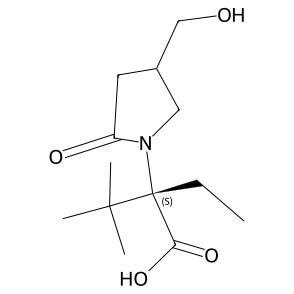 CC[C@](C(=O)O)(N1CC(CO)CC1=O)C(C)(C)C